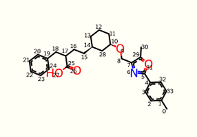 Cc1ccc(-c2nc(CO[C@@H]3CCC[C@H](CCC(Cc4ccccc4)C(=O)O)C3)c(C)o2)cc1